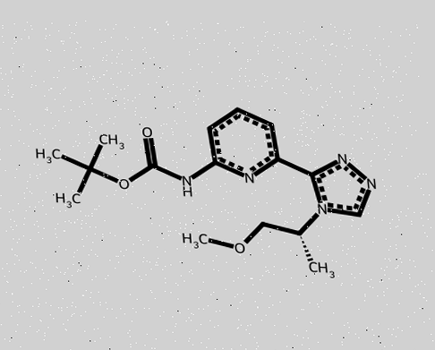 COC[C@@H](C)n1cnnc1-c1cccc(NC(=O)OC(C)(C)C)n1